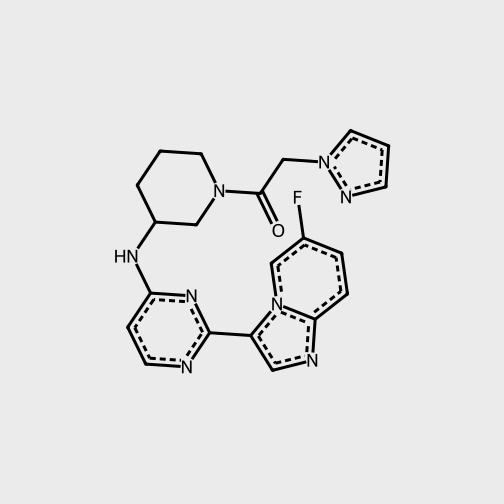 O=C(Cn1cccn1)N1CCCC(Nc2ccnc(-c3cnc4ccc(F)cn34)n2)C1